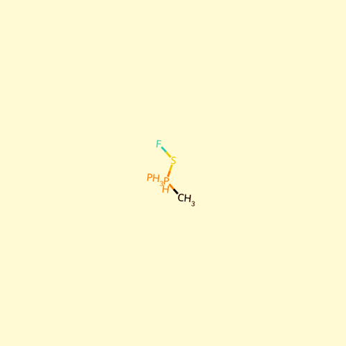 CPSF.P